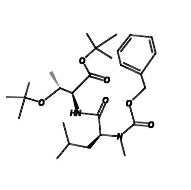 CC(C)C[C@@H](C(=O)N[C@H](C(=O)OC(C)(C)C)[C@@H](C)OC(C)(C)C)N(C)C(=O)OCc1ccccc1